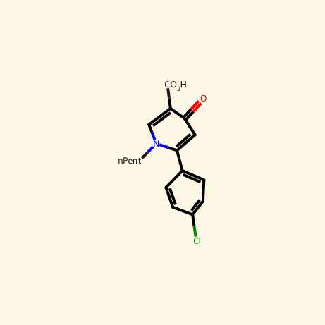 CCCCCn1cc(C(=O)O)c(=O)cc1-c1ccc(Cl)cc1